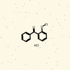 CCOc1ccccc1C(=O)c1ccccc1.Cl